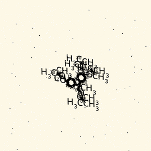 CC(C)(C)OOCC(C)(C1CCC(OOC(C)(C)C)CC1)C1CCC(OOC(C)(C)C)(OOC(C)(C)C)CC1